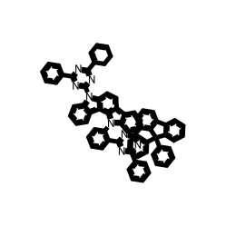 C1=CCCC(c2nc(-c3ccccc3)nc(-n3c4ccccc4c4c3ccc3c5ccccc5n(-c5ccccc5-c5nc(-c6ccccc6)nc(-c6cccc7c6C(c6ccccc6)(c6ccccc6)c6ccccc6-7)n5)c34)n2)=C1